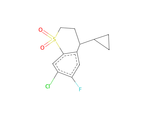 O=S1(=O)CCC(C2CC2)c2cc(F)c(Cl)cc21